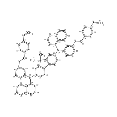 C=Cc1ccc(OCc2cccc(N(c3ccc4c(c3)C(C)(C)c3cc(N(c5cccc(COc6ccc(C=C)cc6)c5)c5cccc6ccccc56)ccc3-4)c3cccc4ccccc34)c2)cc1